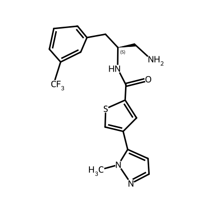 Cn1nccc1-c1csc(C(=O)N[C@H](CN)Cc2cccc(C(F)(F)F)c2)c1